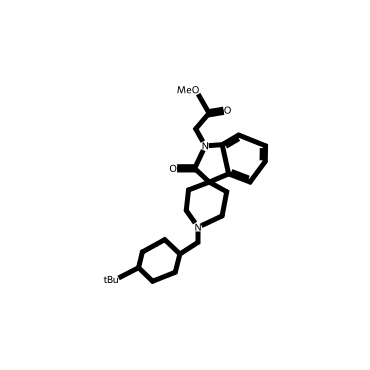 COC(=O)CN1C(=O)C2(CCN(CC3CCC(C(C)(C)C)CC3)CC2)c2ccccc21